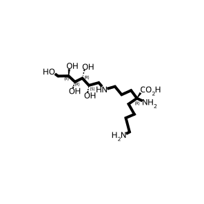 NCCCC[C@@](N)(CCCNC[C@H](O)[C@@H](O)[C@H](O)[C@H](O)CO)C(=O)O